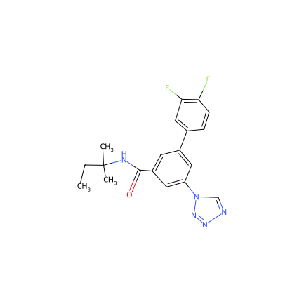 CCC(C)(C)NC(=O)c1cc(-c2ccc(F)c(F)c2)cc(-n2cnnn2)c1